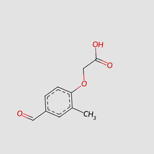 Cc1cc(C=O)ccc1OCC(=O)O